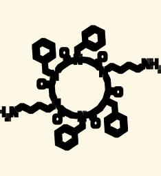 NCCCCN1CC(=O)C(Cc2ccccc2)CC(=O)N(Cc2ccccc2)CC(=O)N(CCCCN)CC(=O)N(Cc2ccccc2)CC(=O)N(Cc2ccccc2)CC1=O